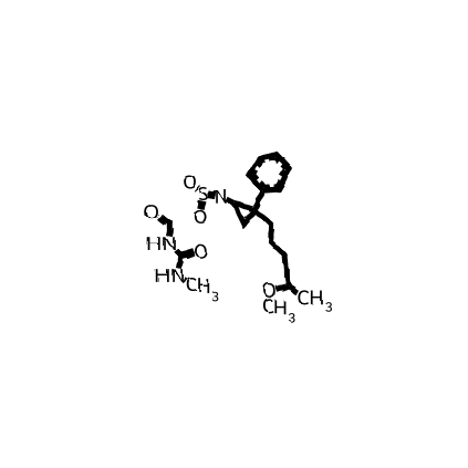 CNC(=O)NC=O.COC(C)CCCC1(c2ccccc2)CC1N=S(=O)=O